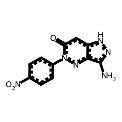 Nc1n[nH]c2cc(=O)n(-c3ccc([N+](=O)[O-])cc3)nc12